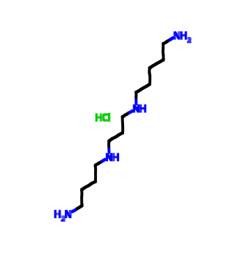 Cl.NCCCCCNCCCNCCCCN